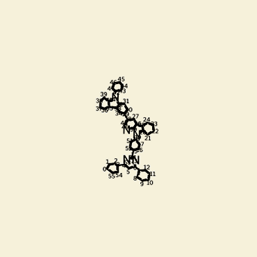 c1ccc(-c2cc(-c3ccccc3)nc(-c3ccc(-n4c5ccccc5c5cc(-c6ccc7c(c6)c6ccccc6n7-c6ccccc6)cnc54)cc3)n2)cc1